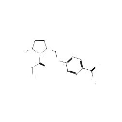 CCC(=O)N1[C@H](COc2ccc(C(=O)O)cc2)CC[C@@H]1F